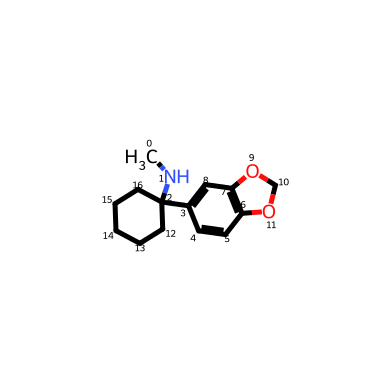 CNC1(c2ccc3c(c2)OCO3)CCCCC1